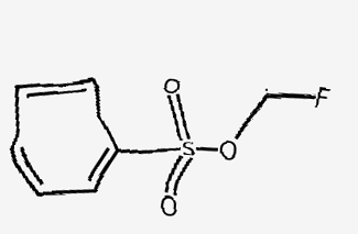 O=S(=O)(O[CH]F)c1ccccc1